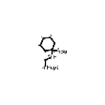 CCCCCCCCPC1(CCCC)CCCCC1